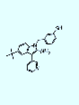 CC(C)(C)c1ccc2c(c1)c(-c1cccnc1)c(N)n2Cc1cccc(S)c1